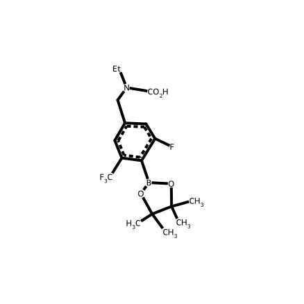 CCN(Cc1cc(F)c(B2OC(C)(C)C(C)(C)O2)c(C(F)(F)F)c1)C(=O)O